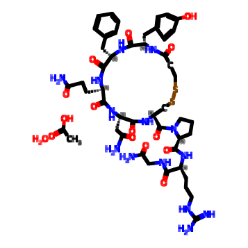 CC(=O)O.N=C(N)NCCC[C@H](NC(=O)[C@@H]1CCCN1C(=O)[C@@H]1CSSCCC(=O)N[C@@H](Cc2ccc(O)cc2)C(=O)N[C@@H](Cc2ccccc2)C(=O)N[C@@H](CCC(N)=O)C(=O)N[C@@H](CC(N)=O)C(=O)N1)C(=O)NCC(N)=O.O